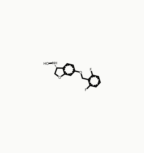 ON[C@H]1COc2cc(OCc3c(F)cccc3F)ccc21